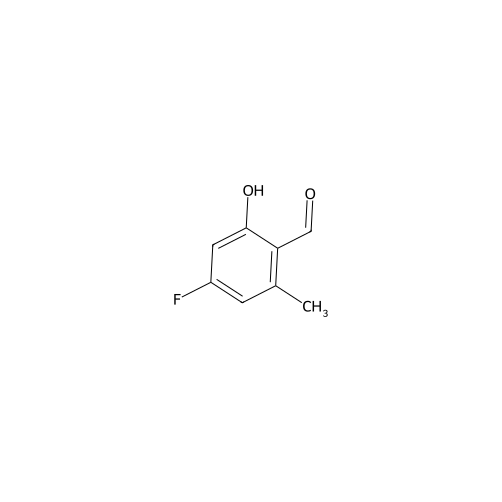 Cc1cc(F)cc(O)c1C=O